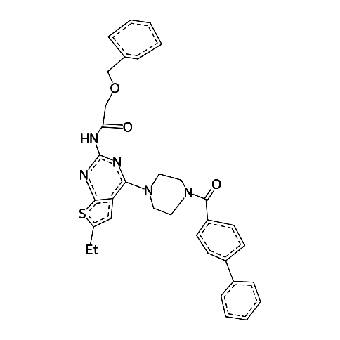 CCc1cc2c(N3CCN(C(=O)c4ccc(-c5ccccc5)cc4)CC3)nc(NC(=O)COCc3ccccc3)nc2s1